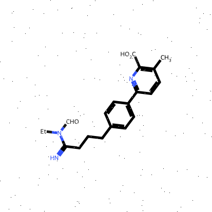 CCN(C=O)C(=N)CCCc1ccc(-c2ccc(C)c(C(=O)O)n2)cc1